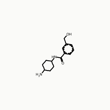 NC1CCC(NC(=O)c2cccc(CO)c2)CC1